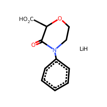 O=C(O)C1OCCN(c2ccccc2)C1=O.[LiH]